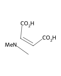 CNC.O=C(O)/C=C\C(=O)O